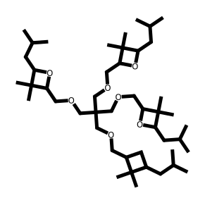 CC(C)CC1CC(COCC(COCC2OC(CC(C)C)C2(C)C)(COCC2OC(CC(C)C)C2(C)C)COCC2OC(CC(C)C)C2(C)C)C1(C)C